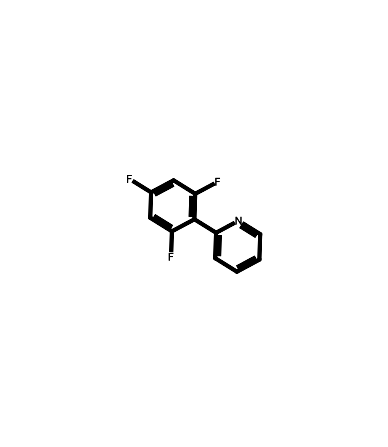 Fc1cc(F)c(-c2ccccn2)c(F)c1